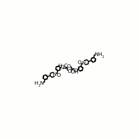 C[C@@]1(COc2cccc(C(=O)N3CCC(c4cccc(CN)c4)CC3)c2)CO[C@](O)(COc2cccc(C(=O)N3CCC(c4cccc(CN)c4)CC3)c2)CO1